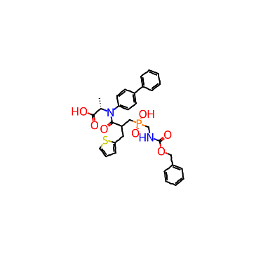 C[C@@H](C(=O)O)N(C(=O)C(Cc1cccs1)CP(=O)(O)CNC(=O)OCc1ccccc1)c1ccc(-c2ccccc2)cc1